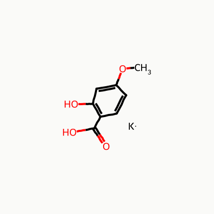 COc1ccc(C(=O)O)c(O)c1.[K]